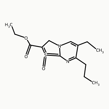 CCCC1=NC2=S(=O)=C(C(=O)OCC)CN2C=C1CC